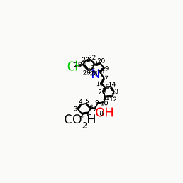 O=C(O)c1ccccc1[C@@H](O)CCc1cccc(C=Cc2ccc3ccc(Cl)cc3n2)c1